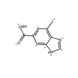 COC(=O)c1cc(I)c2nc[nH]c2c1